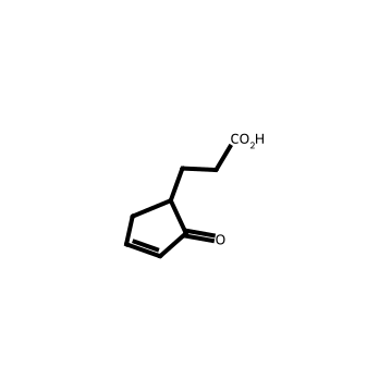 O=C(O)CCC1CC=CC1=O